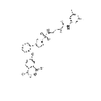 Cc1cc(C)cc(NC(=O)NCCNS(=O)(=O)c2ccc(-c3ccccc3Oc3ccc([N+](=O)[O-])c([N+](=O)[O-])c3)s2)c1